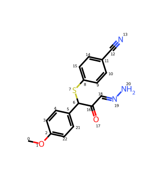 COc1ccc(C(Sc2ccc(C#N)cc2)C(=O)C=NN)cc1